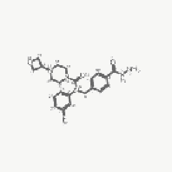 NNC(=O)c1ccc(CN(C(=O)N2CCN(C3COC3)CC2)c2cccc(F)c2)cc1